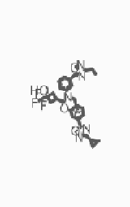 CCc1noc(-c2cccc(N(CC34CCC(c5nc(C6CC6)no5)(CC3)CC4)C(=O)C3CC(O)(C(F)(F)F)C3)c2)n1